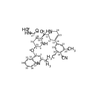 Cc1cc(O[C@@H]2CN[C@H](C(=O)C3CC(c4cc(C)c(C#N)c(C)c4)=CCN3)[C@@H](C(=O)NO)C2)c2ccccc2n1